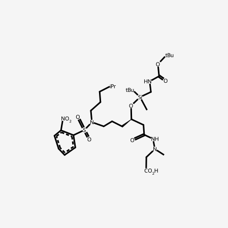 CC(C)CCCN(CCC[C@H](CC(=O)NN(C)CC(=O)O)O[Si](C)(CNC(=O)OC(C)(C)C)C(C)(C)C)S(=O)(=O)c1ccccc1[N+](=O)[O-]